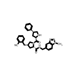 Cn1nnc2cc(CNC(=O)[C@@H]3C[C@@H](Cc4ccccc4C#N)CN3C(=O)[C@H]3C[C@@H](c4ccccc4)CN3)ccc21